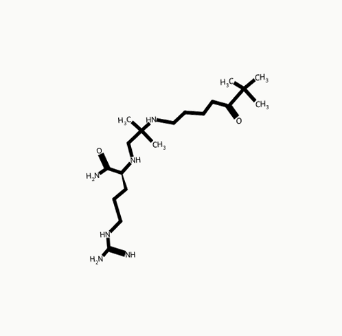 CC(C)(CN[C@@H](CCCNC(=N)N)C(N)=O)NCCCCC(=O)C(C)(C)C